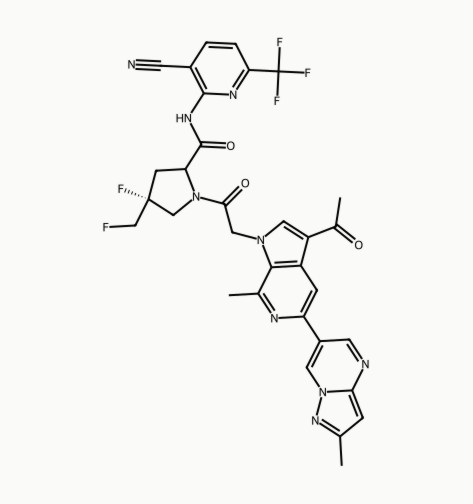 CC(=O)c1cn(CC(=O)N2C[C@@](F)(CF)CC2C(=O)Nc2nc(C(F)(F)F)ccc2C#N)c2c(C)nc(-c3cnc4cc(C)nn4c3)cc12